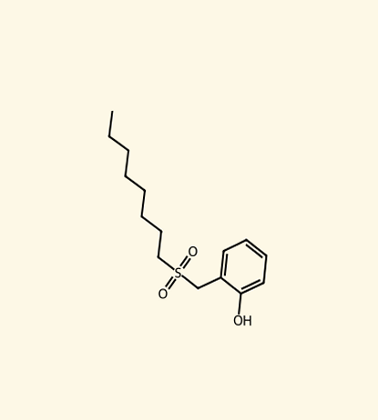 CCCCCCCCS(=O)(=O)Cc1ccccc1O